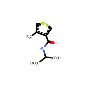 CCOC(=O)C(NC(=O)c1cscc1C(F)(F)F)C(=O)O